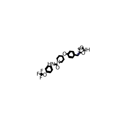 O=C(Nc1ccc(OC(F)(F)F)cc1)N1CCC(Oc2ccc(/C=C3/ONOS3)cc2)CC1